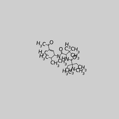 CCC(CC)(C(=O)NC(C(=O)N(C)C(/C=C(\C)C(C)=O)C(C)C)C(C)(C)C)N(C)C